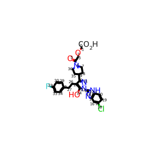 O=C(O)COCC(=O)N1CCC(c2nn(-c3nc4cc(Cl)ccc4[nH]3)c(O)c2CCc2ccc(F)cc2)CC1